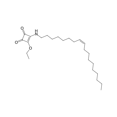 CCCCCCCCC/C=C\CCCCCCCNc1c(OCC)c(=O)c1=O